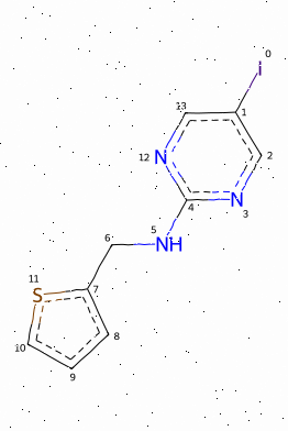 Ic1cnc(NCc2cccs2)nc1